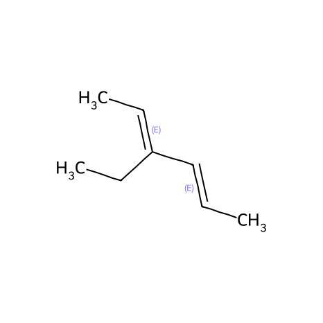 C/C=C/C(=C/C)CC